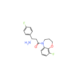 N[C@@H](CC(=O)N1CCCOc2c(F)cccc21)c1ccc(F)cc1